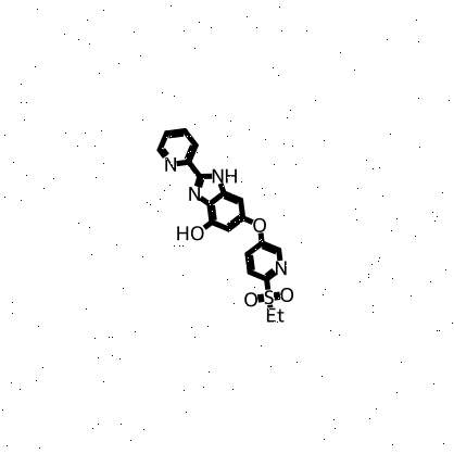 CCS(=O)(=O)c1ccc(Oc2cc(O)c3nc(-c4ccccn4)[nH]c3c2)cn1